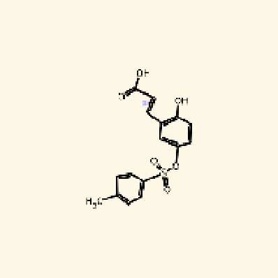 Cc1ccc(S(=O)(=O)Oc2ccc(O)c(/C=C/C(=O)O)c2)cc1